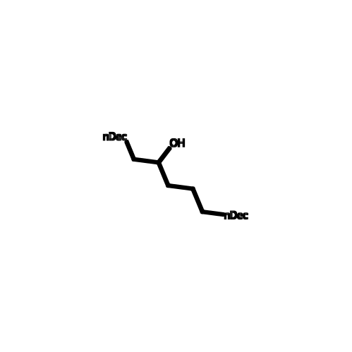 CCCCCCCCCCCCCC(O)CCCCCCCCCCC